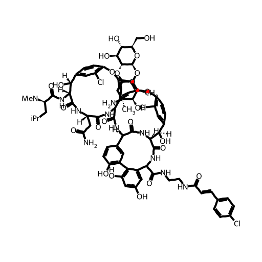 CN[C@H](CC(C)C)C(=O)N[C@H]1C(=O)N[C@@H](CC(N)=O)C(=O)NC2C(=O)N[C@H]3C(=O)N[C@H](C(=O)NC(C(=O)NCCNC(=O)/C=C/c4ccc(Cl)cc4)c4cc(O)cc(O)c4-c4cc3ccc4O)[C@H](O)c3ccc(c(Cl)c3)Oc3cc2cc(c3O[C@@H]2O[C@H](CO)[C@@H](O)[C@H](O)[C@H]2OC2C[C@](C)(N)[C@H](O)[C@H](C)O2)Oc2ccc(cc2Cl)[C@H]1O